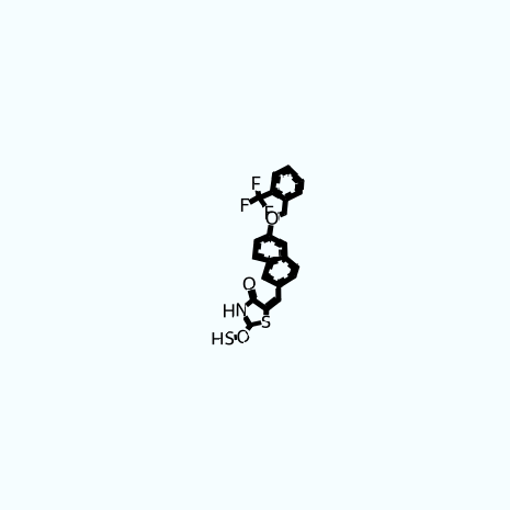 O=C1NC(OS)SC1=Cc1ccc2cc(OCc3ccccc3C(F)(F)F)ccc2c1